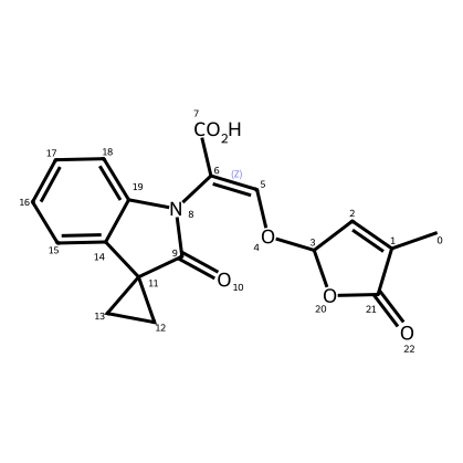 CC1=CC(O/C=C(/C(=O)O)N2C(=O)C3(CC3)c3ccccc32)OC1=O